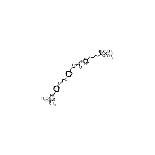 CN(/N=C/c1ccc(OC=COc2ccc(CCNC(=O)Cn3cc(CCCCC(=O)OC(C)(C)C)nn3)cc2)cc1)[PH](C)=S